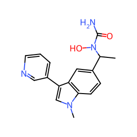 CC(c1ccc2c(c1)c(-c1cccnc1)cn2C)N(O)C(N)=O